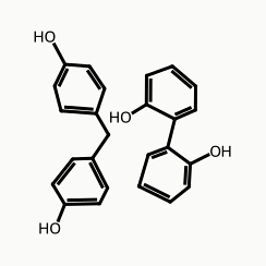 Oc1ccc(Cc2ccc(O)cc2)cc1.Oc1ccccc1-c1ccccc1O